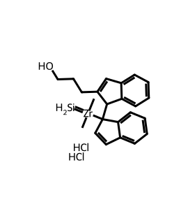 Cl.Cl.[CH3][Zr]([CH3])(=[SiH2])[C]1(C2C(CCCO)=Cc3ccccc32)C=Cc2ccccc21